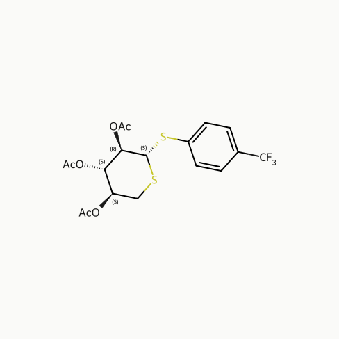 CC(=O)O[C@@H]1[C@@H](OC(C)=O)[C@H](Sc2ccc(C(F)(F)F)cc2)SC[C@H]1OC(C)=O